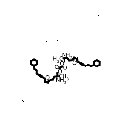 C[C@@](N)(CCc1ccc(C#CCCCC2CCCCC2)o1)COC(=O)C(=O)OC[C@](C)(N)CCc1ccc(C#CCCCC2CCCCC2)o1